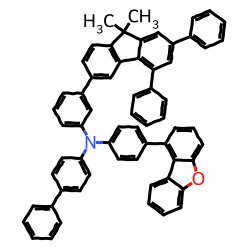 CC1(C)c2ccc(-c3cccc(N(c4ccc(-c5ccccc5)cc4)c4ccc(-c5cccc6oc7ccccc7c56)cc4)c3)cc2-c2c(-c3ccccc3)cc(-c3ccccc3)cc21